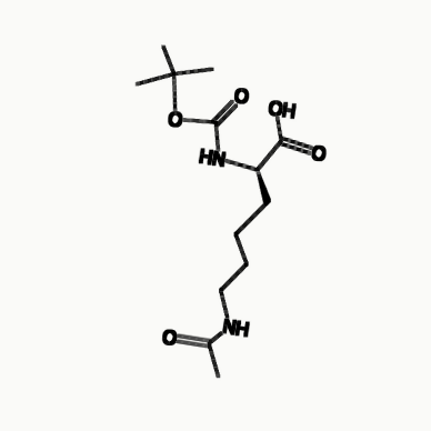 CC(=O)NCCCC[C@@H](NC(=O)OC(C)(C)C)C(=O)O